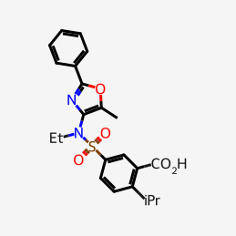 CCN(c1nc(-c2ccccc2)oc1C)S(=O)(=O)c1ccc(C(C)C)c(C(=O)O)c1